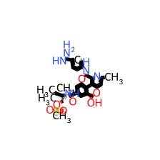 Cc1ccc(-c2ccc(C(=O)N[C@H](COS(C)(=O)=O)C(C)(C)C)cc2C(=O)O)c(C(=O)Nc2ccc(C(=N)N)cc2)n1